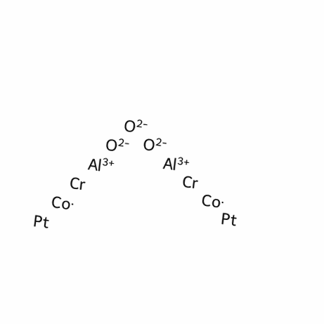 [Al+3].[Al+3].[Co].[Co].[Cr].[Cr].[O-2].[O-2].[O-2].[Pt].[Pt]